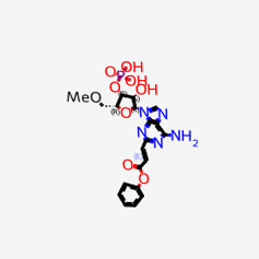 COC[C@H]1O[C@@H](n2cnc3c(N)nc(/C=C/C(=O)Oc4ccccc4)nc32)[C@@H](O)[C@H]1OP(=O)(O)O